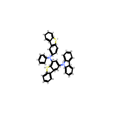 C1=c2sc3ccc(N(c4ccccc4)c4cc(-n5c6ccccc6c6ccccc65)cc5c4sc4ccccc45)cc3c2=CCC1